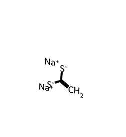 C=C([S-])[S-].[Na+].[Na+]